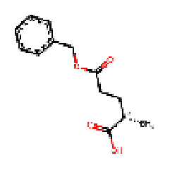 B[C@@H](CCC(=O)OCc1ccccc1)C(=O)O